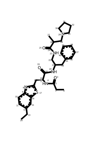 CCC(=O)N[C@@H](Cc1nc2ccc(CC)cc2s1)C(=O)NC(CNC(=O)C(C)CN1CCCC1)Cc1ccccc1